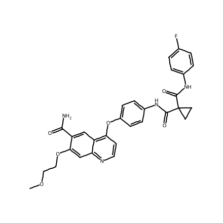 COCCOc1cc2nccc(Oc3ccc(NC(=O)C4(C(=O)Nc5ccc(F)cc5)CC4)cc3)c2cc1C(N)=O